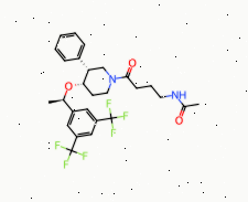 CC(=O)NCCCC(=O)N1CC[C@H](O[C@H](C)c2cc(C(F)(F)F)cc(C(F)(F)F)c2)[C@H](c2ccccc2)C1